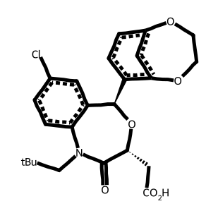 CC(C)(C)CN1C(=O)[C@@H](CC(=O)O)O[C@H](c2ccc3cc2OCCO3)c2cc(Cl)ccc21